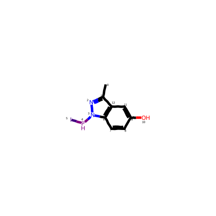 Cc1nn(PI)c2ccc(O)cc12